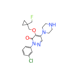 O=c1c(OCC2(CF)CC2)c(N2CCNCC2)cnn1-c1cccc(Cl)c1